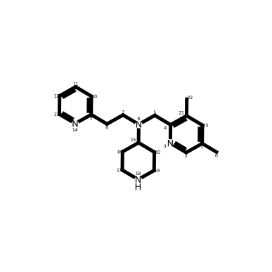 Cc1cnc(CN(CCc2ccccn2)C2CCNCC2)c(C)c1